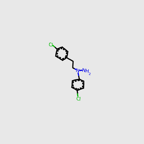 NN(CCc1ccc(Cl)cc1)c1ccc(Cl)cc1